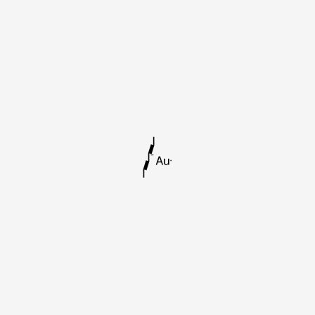 I[I-]I.[Au]